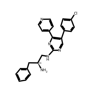 N[C@H](CNc1ncc(-c2ccc(Cl)cc2)c(-c2ccncc2)n1)Cc1ccccc1